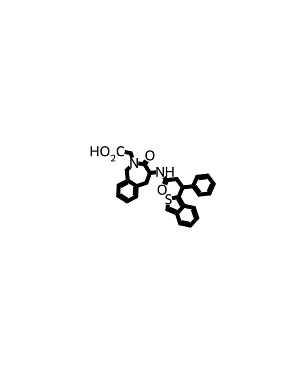 O=C(O)CN1Cc2ccccc2CC(NC(=O)CC(c2ccccc2)c2scc3ccccc23)C1=O